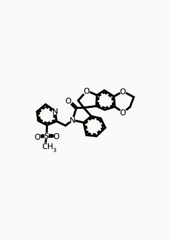 CS(=O)(=O)c1cccnc1CN1C(=O)C2(COc3cc4c(cc32)OCCO4)c2ccccc21